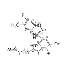 CNCCNc1nc2c(F)c(F)cc(/C(=N/O)Nc3ccc(F)c(C)c3)c2[nH]1